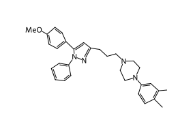 COc1ccc(-c2cc(CCCN3CCN(c4ccc(C)c(C)c4)CC3)nn2-c2ccccc2)cc1